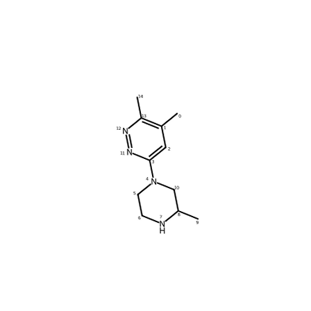 Cc1cc(N2CCNC(C)C2)nnc1C